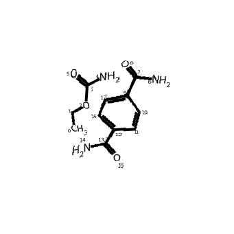 CCOC(N)=O.NC(=O)c1ccc(C(N)=O)cc1